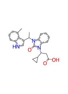 Cc1cccc2[nH]cc(C(C)n3c(=O)n(C(CC(=O)O)C4CC4)c4ccccc43)c12